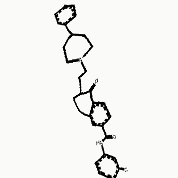 O=C(Nc1cccc(Cl)c1)c1ccc2c(c1)CCC(CCN1CCC(c3ccccc3)CC1)C2=O